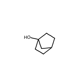 OC12CCC(CC1)C2